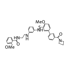 COc1ccc(-c2cccc(C(=O)N3CCC3)c2)cc1SNc1cccc(NCCNC(=O)c2ccccc2OC)c1